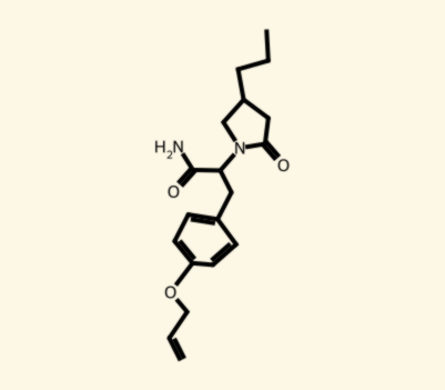 C=CCOc1ccc(CC(C(N)=O)N2CC(CCC)CC2=O)cc1